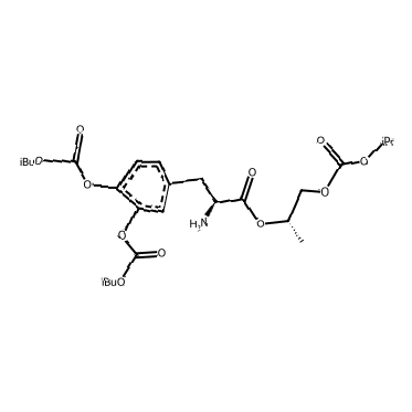 CC(C)COC(=O)Oc1ccc(C[C@H](N)C(=O)O[C@@H](C)COC(=O)OC(C)C)cc1OC(=O)OCC(C)C